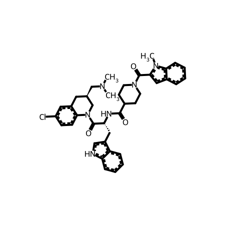 CN(C)C[C@@H]1Cc2cc(Cl)ccc2N(C(=O)[C@@H](Cc2c[nH]c3ccccc23)NC(=O)C2CCN(C(=O)c3cc4ccccc4n3C)CC2)C1